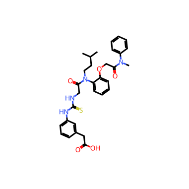 CC(C)CCN(C(=O)CNC(=S)Nc1cccc(CC(=O)O)c1)c1ccccc1OCC(=O)N(C)c1ccccc1